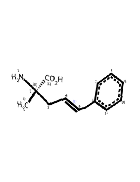 C[C@@](N)(C/C=C/c1ccccc1)C(=O)O